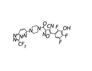 N#Cc1c(C(=O)N2CCN(c3ccc4nnc(C(F)(F)F)n4n3)CC2)noc1-c1cc(F)c(F)c(O)c1F